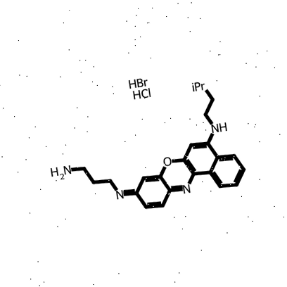 Br.CC(C)CCNc1cc2oc3cc(=NCCCN)ccc-3nc2c2ccccc12.Cl